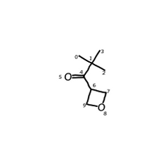 CC(C)(C)C(=O)C1COC1